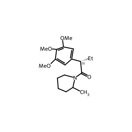 CC[C@H](C(=O)N1CCCCC1C)c1cc(OC)c(OC)c(OC)c1